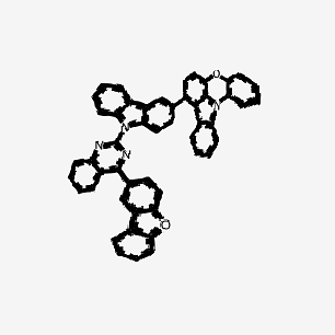 c1ccc2c(c1)Oc1ccc(-c3ccc4c(c3)c3ccccc3n4-c3nc(-c4ccc5oc6ccccc6c5c4)c4ccccc4n3)c3c4ccccc4n-2c13